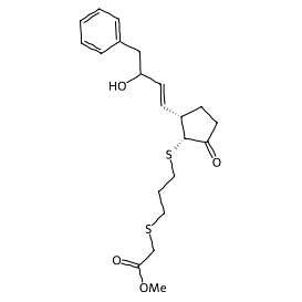 COC(=O)CSCCCS[C@H]1C(=O)CC[C@H]1C=CC(O)Cc1ccccc1